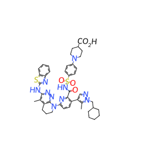 Cc1c(Nc2nc3ccccc3s2)nnc2c1CCCN2c1ccc(-c2cnn(CC3CCCCC3)c2C)c(C(=O)NS(=O)(=O)c2ccc(N3CCC(C(=O)O)CC3)cc2)n1